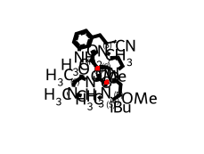 CC[C@H](C)[C@@H]([C@@H](CC(=O)N1CCC[C@H]1[C@H](OC)[C@@H](C)C(=O)N(C)[C@H](CC#N)Cc1cccc(N)c1)OC)N(C)C(=O)C(NC(=O)[C@H](C)N(C)C)C(C)C